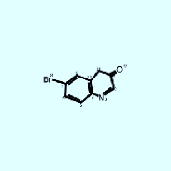 O=C1C=Nc2ccc(Br)cc2C1